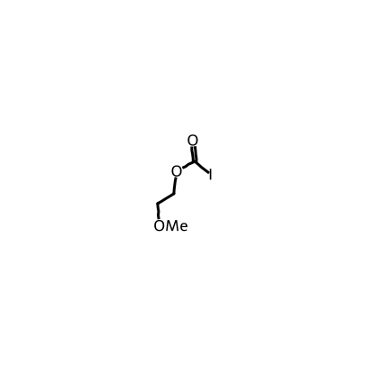 COCCOC(=O)I